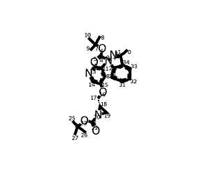 CC1=N[N+](C(=O)OC(C)(C)C)(c2cncc(OC[C@@H]3CN3C(=O)OC(C)(C)C)c2)c2ccccc21